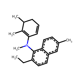 CCc1ccc2cc(C)ccc2c1N(C)C1=C(C)C(C)CC=C1